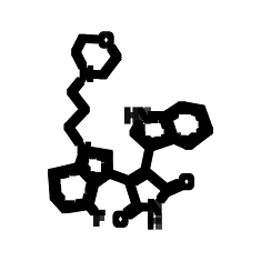 O=C1NC(=O)C(c2cn(CCCN3CCOCC3)c3cccc(F)c23)=C1c1c[nH]c2ccccc12